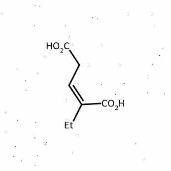 CCC(=CCC(=O)O)C(=O)O